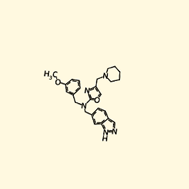 COc1cccc(CN(Cc2ccc3cn[nH]c3c2)c2nc(CN3CCCCC3)co2)c1